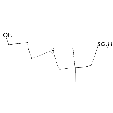 CC(C)(CSCCCO)CS(=O)(=O)O